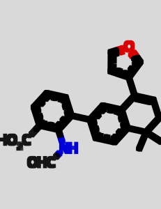 CC1(C)CC=C(c2ccoc2)c2cc(-c3cccc(C(=O)O)c3NC=O)ccc21